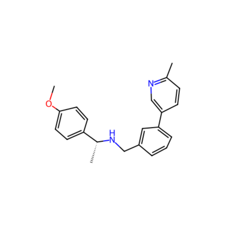 COc1ccc([C@@H](C)NCc2cccc(-c3ccc(C)nc3)c2)cc1